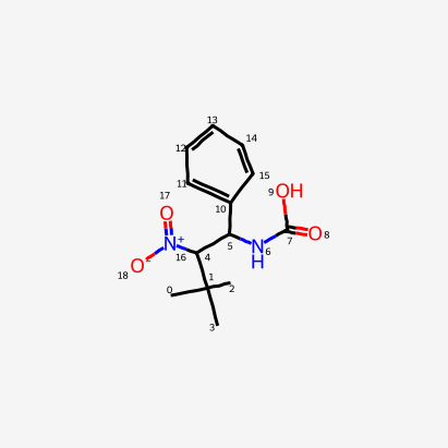 CC(C)(C)C(C(NC(=O)O)c1ccccc1)[N+](=O)[O-]